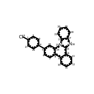 Clc1ccc(-c2ccc3c4ccccc4c4nc5ccccc5n4c3c2)cc1